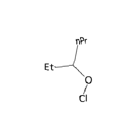 CCCC(CC)OCl